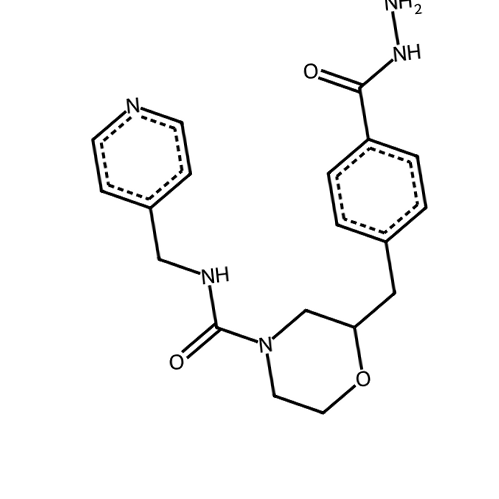 NNC(=O)c1ccc(CC2CN(C(=O)NCc3ccncc3)CCO2)cc1